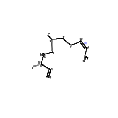 C=C[C@H](C)NCC(C)CC/C=C\C(C)C